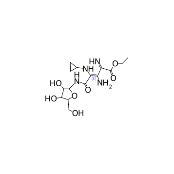 CCOC(=O)C(=N)/C(N)=C(\NC1CC1)C(=O)NC1OC(CO)C(O)C1O